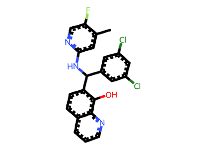 Cc1cc(NC(c2cc(Cl)cc(Cl)c2)c2ccc3cccnc3c2O)ncc1F